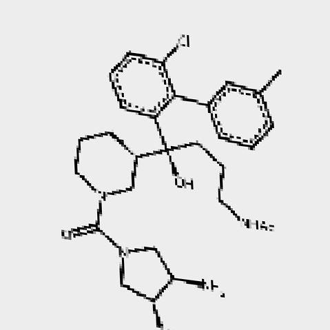 CC(=O)NCCC[C@@](O)(c1cccc(Cl)c1-c1cccc(C)c1)[C@@H]1CCCN(C(=O)N2C[C@@H](N)[C@@H](O)C2)C1